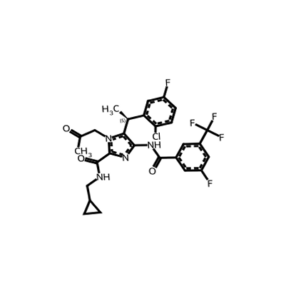 CC(=O)Cn1c(C(=O)NCC2CC2)nc(NC(=O)c2cc(F)cc(C(F)(F)F)c2)c1[C@@H](C)c1cc(F)ccc1Cl